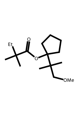 CCC(C)(C)C(=O)OC1(C(C)(C)COC)CCCC1